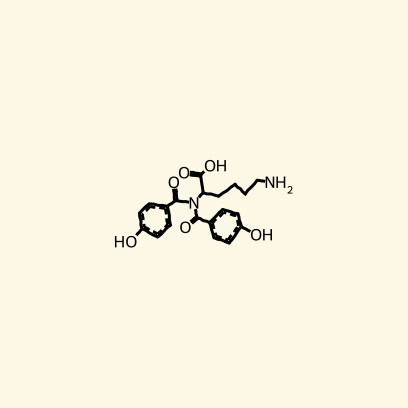 NCCCCC(C(=O)O)N(C(=O)c1ccc(O)cc1)C(=O)c1ccc(O)cc1